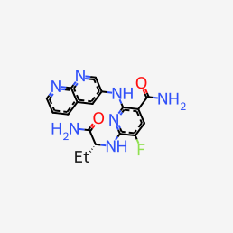 CC[C@@H](Nc1nc(Nc2cnc3ncccc3c2)c(C(N)=O)cc1F)C(N)=O